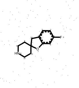 Fc1ccc2c(c1)OC1(CCNCC1)C2